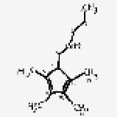 CCC[SiH]CC1C(C)=C(C)C(C)=C1C